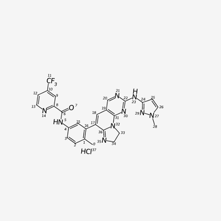 Cc1ccc(NC(=O)c2cc(C(F)(F)F)ccn2)cc1C1=Cc2cnc(Nc3ccn(C)n3)nc2N2CCN=C12.Cl